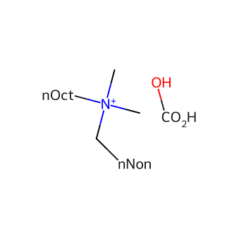 CCCCCCCCCC[N+](C)(C)CCCCCCCC.O=C(O)O